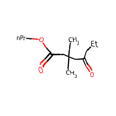 CCCOC(=O)C(C)(C)C(=O)CC